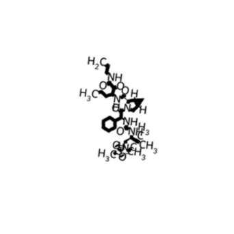 C=CCNC(=O)C(=O)C(CCC)NC(=O)[C@@H]1[C@H]2C[C@H]2CN1C(=O)[C@@H](NC(=O)N[C@H](CN(C)S(C)(=O)=O)C(C)(C)C)C1CCCCC1